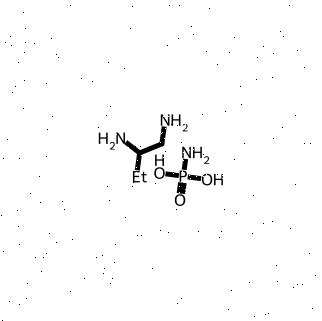 CCC(N)CN.NP(=O)(O)O